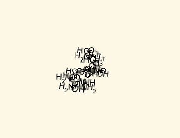 CC(C)C(N)C(=O)O.N=C(N)NCCCC(N)C(=O)O.NC(=O)CCC(N)C(=O)O.NC(Cc1ccc(O)cc1)C(=O)O.O=C(O)[C@@H]1CCCN1.O=C(O)[C@@H]1CCCN1